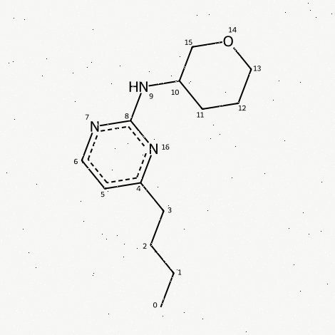 CCCCc1ccnc(NC2CCCOC2)n1